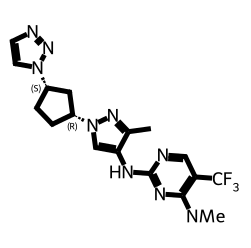 CNc1nc(Nc2cn([C@@H]3CC[C@H](n4ccnn4)C3)nc2C)ncc1C(F)(F)F